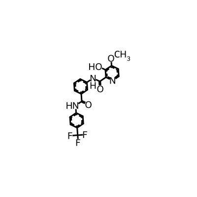 COc1ccnc(C(=O)Nc2cccc(C(=O)Nc3ccc(C(F)(F)F)cc3)c2)c1O